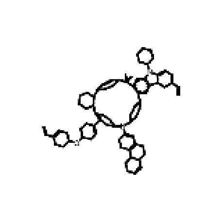 C=CC1=CCC(OC2CC=C(C3=C4CCC(C3)N(C3=CC5=C(CC3)C3CCC=CC3CC5)C3CCC(CC3)c3cc5c(cc3C(C)(C)C3C=CC(CC3)C3CCCCC43)N(C3CCCCC3)C3=CCC(C=C)CC35)CC2)CC1